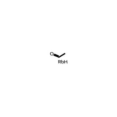 CC=O.[RbH]